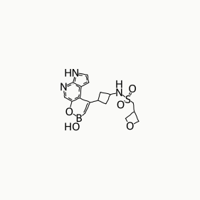 O=S(=O)(CC1COC1)NC1CC(C2=CB(O)Oc3cnc4[nH]ccc4c32)C1